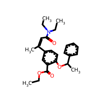 CCOC(=O)c1cc(/C(C)=C\C(=O)N(CC)CC)ccc1OC(C)c1ccccc1